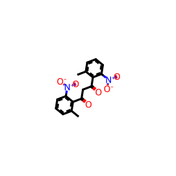 Cc1cccc([N+](=O)[O-])c1C(=O)CC(=O)c1c(C)cccc1[N+](=O)[O-]